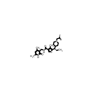 CC[C@@H](c1scc(C(=O)NCc2c(C)cc(C)[nH]c2=O)c1C)C1CCN(CC(F)F)CC1